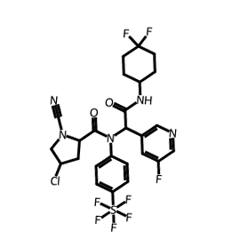 N#CN1CC(Cl)CC1C(=O)N(c1ccc(S(F)(F)(F)(F)F)cc1)C(C(=O)NC1CCC(F)(F)CC1)c1cncc(F)c1